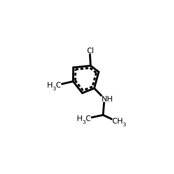 Cc1cc(Cl)cc(NC(C)C)c1